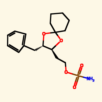 NS(=O)(=O)OCC[C@@H]1OC2(CCCCC2)O[C@H]1Cc1ccccc1